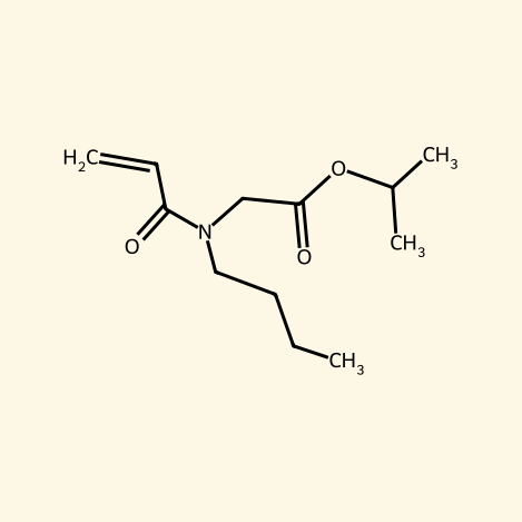 C=CC(=O)N(CCCC)CC(=O)OC(C)C